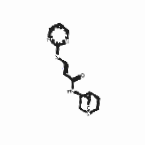 O=C(/C=C/Sc1ncccn1)NC1CN2CCC1CC2